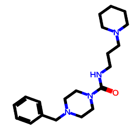 O=C(NCCCN1CCCCC1)N1CCN(Cc2ccccc2)CC1